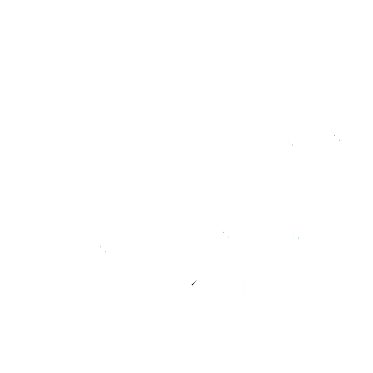 CCOc1cncc(-c2cnc(C(=O)N[C@@H](c3cccc(NS(=O)(=O)C(F)F)c3)[C@H](C)O)s2)n1